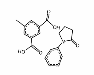 Cc1cc(C(=O)O)cc(C(=O)O)c1.O=C1CCCN1c1ccccc1